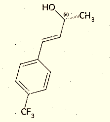 C[C@@H](O)C=Cc1ccc(C(F)(F)F)cc1